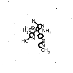 C#Cc1cc(C)c(-c2c(-c3ccc(Oc4cccc(C)n4)cc3)c3c(N)ncc(C#N)c3n2C)cn1